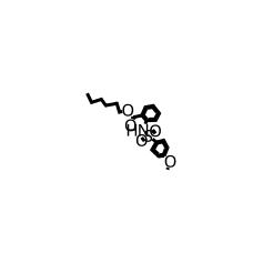 CCCCCCOC(=O)c1ccccc1NS(=O)(=O)c1ccc(OC)cc1